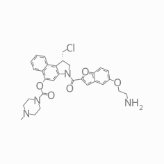 CN1CCN(C(=O)Oc2cc3c(c4ccccc24)[C@H](CCl)CN3C(=O)c2cc3cc(OCCN)ccc3o2)CC1